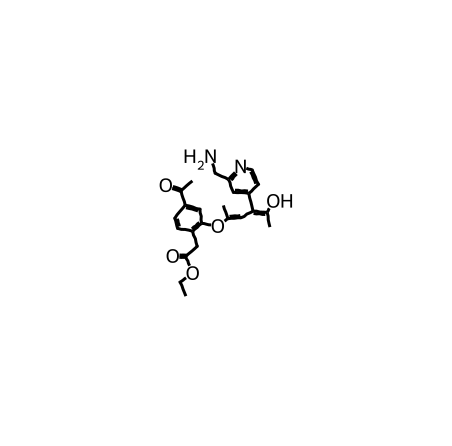 CCOC(=O)Cc1ccc(C(C)=O)cc1O/C(C)=C/C(=C(\C)O)c1ccnc(CN)c1